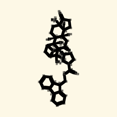 CC1(C)C2CC(N2O[C@@H]2CCN(C(=O)OCC3c4ccccc4-c4ccccc43)C2)[C@]2(C)[C@H]3CC[C@]4(C)C(=O)CC[C@H]4[C@@H]3CC(=O)[C@@]12O